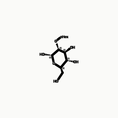 CCCCCCO[C@@H]1[C@@H](O)[C@H](O)[C@@H](CO)O[C@@H]1O